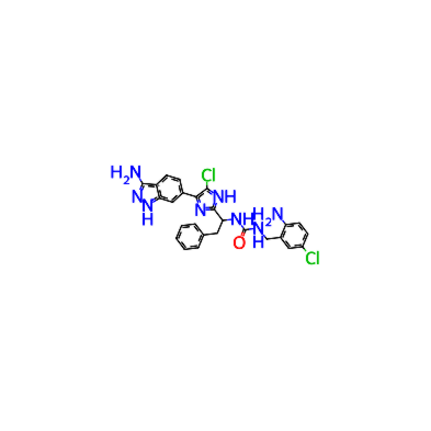 Nc1ccc(Cl)cc1CNC(=O)NC(Cc1ccccc1)c1nc(-c2ccc3c(N)n[nH]c3c2)c(Cl)[nH]1